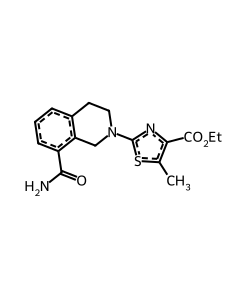 CCOC(=O)c1nc(N2CCc3cccc(C(N)=O)c3C2)sc1C